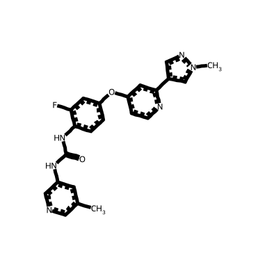 Cc1cncc(NC(=O)Nc2ccc(Oc3ccnc(-c4cnn(C)c4)c3)cc2F)c1